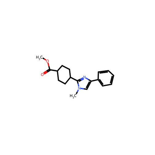 COC(=O)C1CCC(c2nc(-c3ccccc3)cn2C)CC1